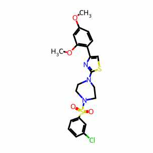 COc1ccc(-c2csc(N3CCN(S(=O)(=O)c4cccc(Cl)c4)CC3)n2)c(OC)c1